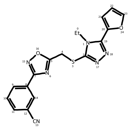 CCn1c(SCc2nc(-c3cccc(C#N)c3)no2)nnc1-c1ccco1